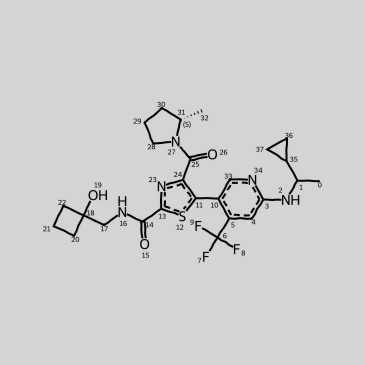 CC(Nc1cc(C(F)(F)F)c(-c2sc(C(=O)NCC3(O)CCC3)nc2C(=O)N2CCC[C@@H]2C)cn1)C1CC1